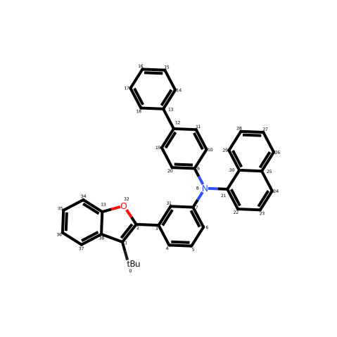 CC(C)(C)c1c(-c2cccc(N(c3ccc(-c4ccccc4)cc3)c3cccc4ccccc34)c2)oc2ccccc12